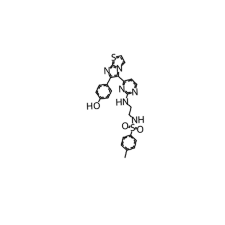 Cc1ccc(S(=O)(=O)NCCNc2nccc(-c3c(-c4ccc(O)cc4)nc4sccn34)n2)cc1